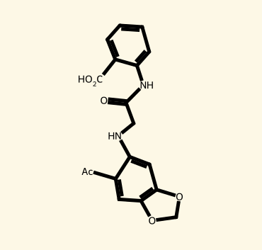 CC(=O)c1cc2c(cc1NCC(=O)Nc1ccccc1C(=O)O)OCO2